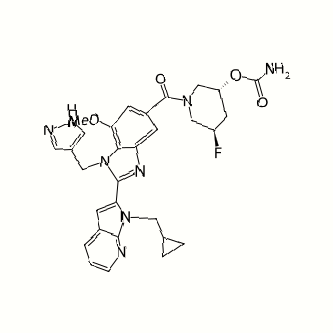 COc1cc(C(=O)N2C[C@H](F)C[C@@H](OC(N)=O)C2)cc2nc(-c3cc4cccnc4n3CC3CC3)n(Cc3cn[nH]c3)c12